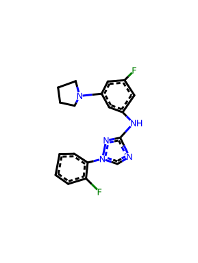 Fc1cc(Nc2ncn(-c3ccccc3F)n2)cc(N2CCCC2)c1